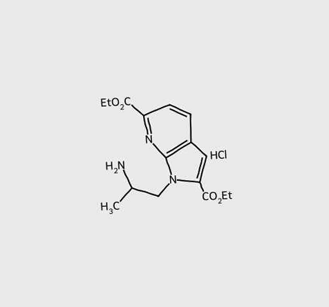 CCOC(=O)c1ccc2cc(C(=O)OCC)n(CC(C)N)c2n1.Cl